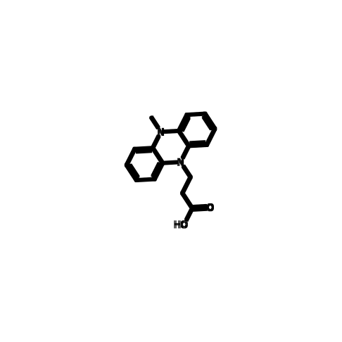 CN1c2ccccc2N(CCC(=O)O)c2ccccc21